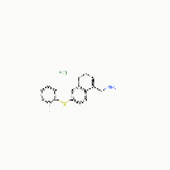 Cc1ccccc1Sc1ccc2c(c1)CCC=C2CN.Cl